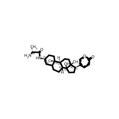 C[C@@H](N)C(=O)N[C@H]1CC[C@@]2(C)C(CC[C@@H]3[C@@H]2CC[C@]2(C)[C@@H](c4ccc(=O)oc4)CC[C@]32O)C1